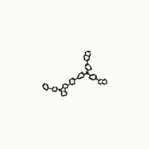 c1ccc(-c2ccc(-n3c4ccccc4c4cc(-c5ccc(-c6ccc(N(c7ccc(-c8ccc9ccccc9c8)cc7)c7ccc(-c8ccc9ccccc9c8)cc7)cc6)cc5)ccc43)cc2)cc1